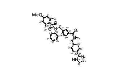 COc1cc(C)c(S(=O)(=O)N(Cc2cc(C(=O)N(C)CC3C=CC(C4=NCCN4)=CC3)co2)c2ccccc2)c(C)c1